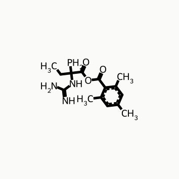 CCC(P)(NC(=N)N)C(=O)OC(=O)c1c(C)cc(C)cc1C